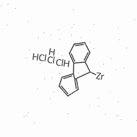 Cl.Cl.Cl.[Zr][CH]1c2ccccc2-c2ccccc21